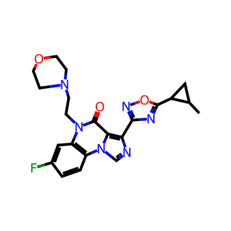 CC1CC1c1nc(-c2ncn3c2c(=O)n(CCN2CCOCC2)c2cc(F)ccc23)no1